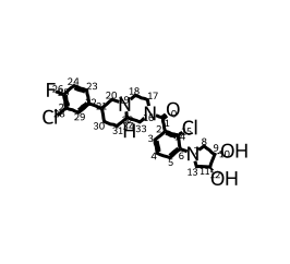 O=C(c1cccc(N2C[C@H](O)[C@@H](O)C2)c1Cl)N1CCN2CC(c3ccc(F)c(Cl)c3)CC[C@@H]2C1